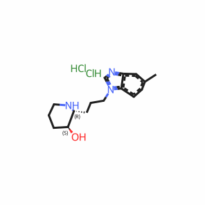 Cc1ccc2c(c1)ncn2CCC[C@H]1NCCC[C@@H]1O.Cl.Cl